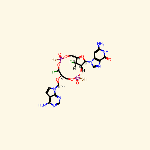 C[C@@H](O[C@@H]1COP(=O)(S)O[C@@H]2[C@H](F)[C@@H](COP(=O)(S)OC1F)O[C@H]2n1cnc2c(=O)[nH]c(N)cc21)n1ccc2c(N)ncnc21